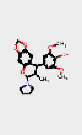 COc1cc(C2c3cc4c(cc3OC(N3CCCC3)C2C)OCO4)cc(OC)c1O